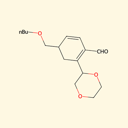 CCCCOCC1C=CC(C=O)=C(C2COCCO2)C1